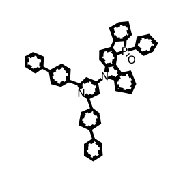 O=P1(c2ccccc2)c2ccccc2-c2ccc3c(c21)c1ccccc1n3-c1cc(-c2ccc(-c3ccccc3)cc2)nc(-c2ccc(-c3ccccc3)cc2)c1